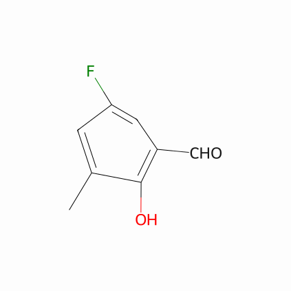 Cc1cc(F)cc(C=O)c1O